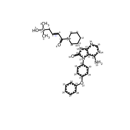 C[Si](C)(O)C/C=C/C(=O)N1CCC[C@H](n2c(=O)n(-c3ccc(Oc4ccccc4)cc3)c3c(N)ncnc32)C1